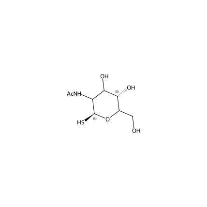 CC(=O)NC1C(O)[C@H](O)C(CO)O[C@H]1S